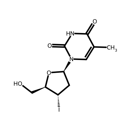 Cc1cn([C@H]2C[C@H](I)[C@@H](CO)O2)c(=O)[nH]c1=O